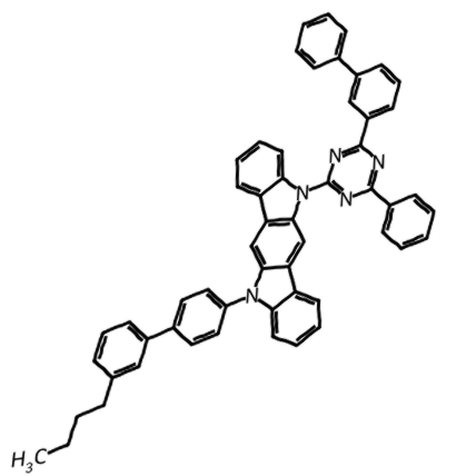 CCCCc1cccc(-c2ccc(-n3c4ccccc4c4cc5c(cc43)c3ccccc3n5-c3nc(-c4ccccc4)nc(-c4cccc(-c5ccccc5)c4)n3)cc2)c1